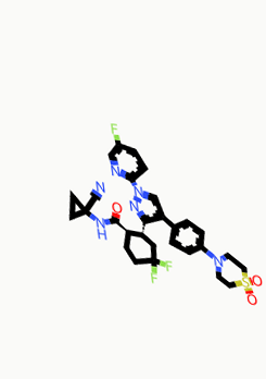 N#CC1(NC(=O)[C@@H]2CCC(F)(F)C[C@H]2c2nn(-c3ccc(F)cn3)cc2-c2ccc(N3CCS(=O)(=O)CC3)cc2)CC1